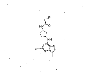 Cc1cnn2c(N[C@@H]3CC[C@@H](NC(=O)OC(C)C)C3)cc(C(C)C)nc12